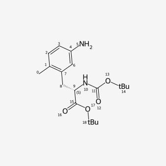 Cc1ccc(N)cc1C[C@H](NC(=O)OC(C)(C)C)C(=O)OC(C)(C)C